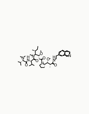 CC[C@H](C)C([C@@H](CC(=O)N1CCC[C@H]1[C@H](OC)[C@@H](C)C(=O)NCCc1ccc2ccncc2c1)OC)N(C)C(=O)[C@@H](NC(=O)[C@H](C(C)C)N(C)C)C(C)C